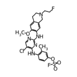 COc1cc2c(cc1Nc1ncc(Cl)c(Nc3ccc(OS(=O)(=O)F)cc3C)n1)CN(CCF)CC2